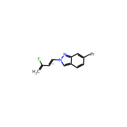 C=C(F)/C=C/n1cc2ccc(C(C)C)cc2n1